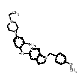 CCN1CCN(c2ccc(Nc3cc4ccn(Cc5ccc(OC)cc5)c4cn3)c(N)c2)CC1